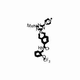 CNc1nc(N2CCN(C)CC2)nc(N2CCc3cc(C(=O)NCc4ccccc4OC(F)(F)F)ccc3C2)n1